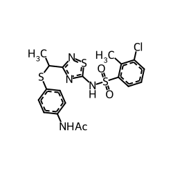 CC(=O)Nc1ccc(SC(C)c2nsc(NS(=O)(=O)c3cccc(Cl)c3C)n2)cc1